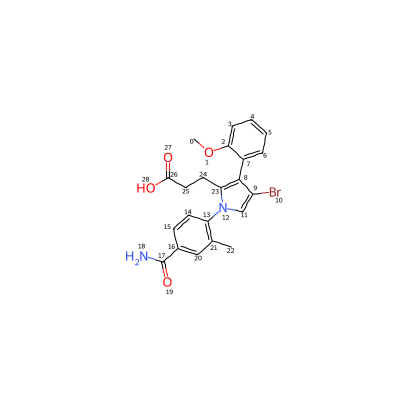 COc1ccccc1-c1c(Br)cn(-c2ccc(C(N)=O)cc2C)c1CCC(=O)O